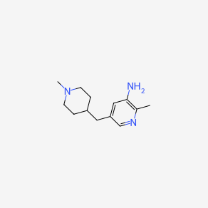 Cc1ncc(CC2CCN(C)CC2)cc1N